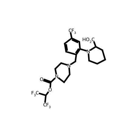 O=C(O)C1CCCCN1c1cc(C(F)(F)F)ccc1CN1CCN(C(=O)OC(C(F)(F)F)C(F)(F)F)CC1